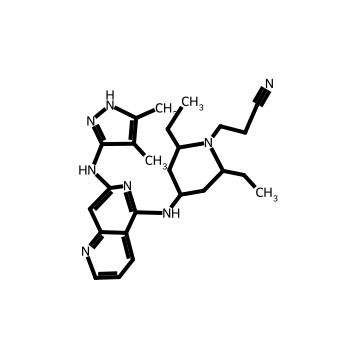 CCC1CC(Nc2nc(Nc3n[nH]c(C)c3C)cc3ncccc23)CC(CC)N1CCC#N